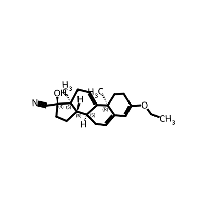 CCOC1=CC2=CC[C@@H]3C(=CC[C@@]4(C)[C@H]3CC[C@]4(O)C#N)[C@@]2(C)CC1